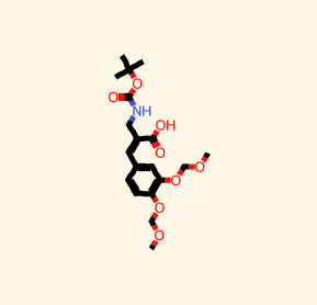 COCOc1ccc(C=C(CNC(=O)OC(C)(C)C)C(=O)O)cc1OCOC